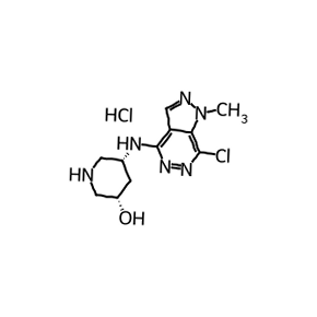 Cl.Cn1ncc2c(N[C@H]3CNC[C@@H](O)C3)nnc(Cl)c21